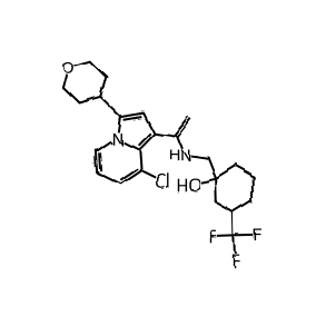 C=C(NCC1(O)CCCC(C(F)(F)F)C1)c1cc(C2CCOCC2)n2cccc(Cl)c12